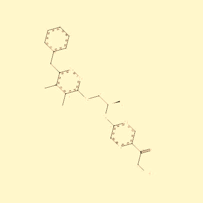 Cc1c(Cc2ccccc2)nnc(NC[C@@H](C)Nc2cnc(C(=O)CO)cn2)c1C